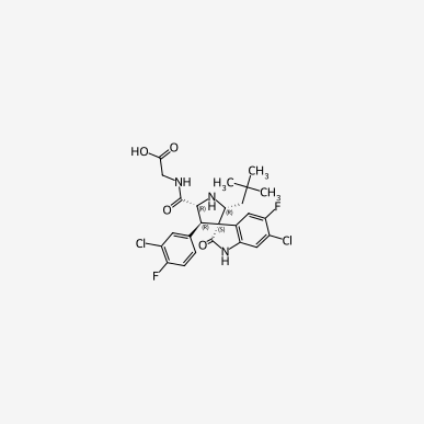 CC(C)(C)C[C@H]1N[C@@H](C(=O)NCC(=O)O)[C@H](c2ccc(F)c(Cl)c2)[C@@]12C(=O)Nc1cc(Cl)c(F)cc12